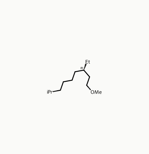 CC[C@H](CCCCC(C)C)CCOC